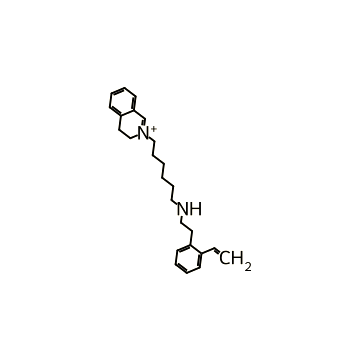 C=Cc1ccccc1CCNCCCCCC[N+]1=Cc2ccccc2CC1